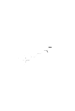 C=C(C)C(=O)OCCCC(O)C[Si](OC)(OC)OC